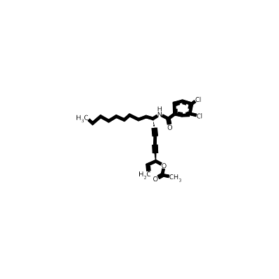 C=C[C@@H](C#CC#C[C@H](CCCCCCCCC)NC(=O)c1ccc(Cl)c(Cl)c1)OC(C)=O